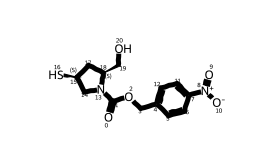 O=C(OCc1ccc([N+](=O)[O-])cc1)N1C[C@@H](S)C[C@H]1CO